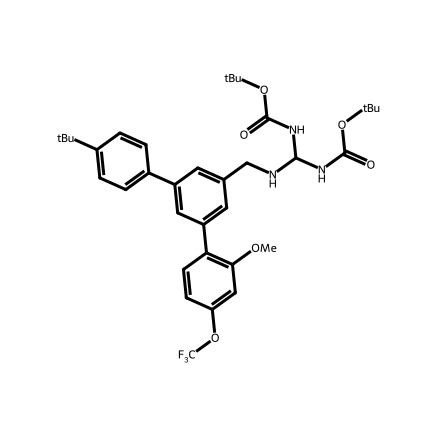 COc1cc(OC(F)(F)F)ccc1-c1cc(CNC(NC(=O)OC(C)(C)C)NC(=O)OC(C)(C)C)cc(-c2ccc(C(C)(C)C)cc2)c1